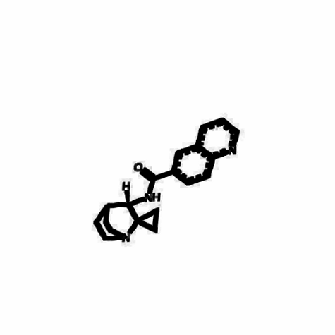 O=C(N[C@H]1C2CCN(CC2)C12CC2)c1ccc2ncccc2c1